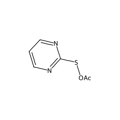 CC(=O)OSc1ncccn1